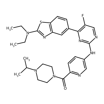 CCN(CC)c1nc2cc(-c3nc(Nc4ccc(C(=O)N5CCN(C(C)C)CC5)nc4)ncc3F)ccc2s1